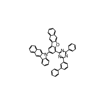 c1ccc(-c2cccc(-c3nc(-c4ccccc4)nc(-c4cc(-n5c6ccccc6c6cc7ccccc7cc65)cc5c4oc4cc6ccccc6cc45)n3)c2)cc1